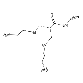 CCCCCNC(=O)C(CNCCN)CNCCN